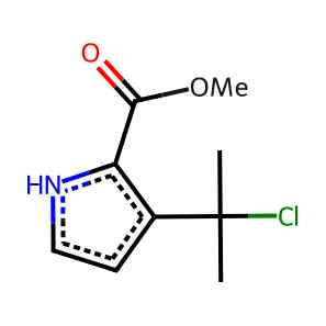 COC(=O)c1[nH]ccc1C(C)(C)Cl